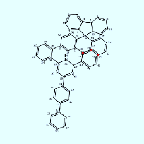 C1=CC2c3ccccc3C3(c4ccccc4Oc4cc(-c5ccccc5C5=NC(c6ccc(-c7ccccc7)cc6)=NC(c6ccccc6)N5)ccc43)C2C=C1